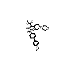 COC(=O)C(C1CCN(N2CCOCC2)CC1)N(C)S(=O)(=O)c1ccc(-c2ccc(OC)cc2)cc1